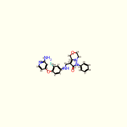 Nc1cc(Oc2ccc(NCc3c4n(n(-c5ccccc5)c3=O)CCOC4)cc2F)ccn1